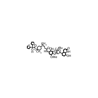 COc1cc(NC(=O)CCN(C)C2CCC(C)(OC(=O)C(O)(c3cccs3)c3cccs3)CC2)c(Cl)cc1CNC[C@@H](O[Si](C)(C)C(C)(C)C)c1ccc(O)c2[nH]c(=O)ccc12